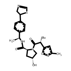 Cc1cc([C@H](C(=O)N2C[C@H](O)C[C@H]2C(=O)N[C@@H](C)c2ccc(C3CN=CS3)cc2)C(C)(C)C)on1